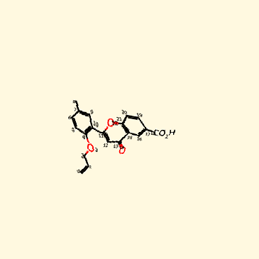 C=CCOc1ccc(C)cc1-c1cc(=O)c2cc(C(=O)O)ccc2o1